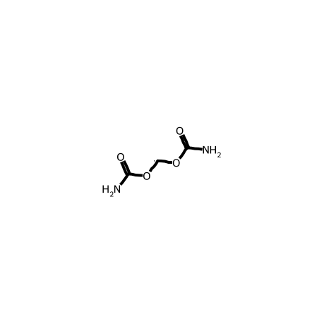 NC(=O)O[CH]OC(N)=O